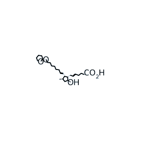 C[C@@H]1C[C@H](O)[C@@H](CC=CCCCC(=O)O)[C@H]1C=CCCCCCCOC1CCCCO1